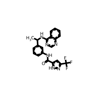 CC(Nc1ncnc2ccccc12)c1cccc(NC(=O)c2cc(C(F)(F)F)n[nH]2)c1